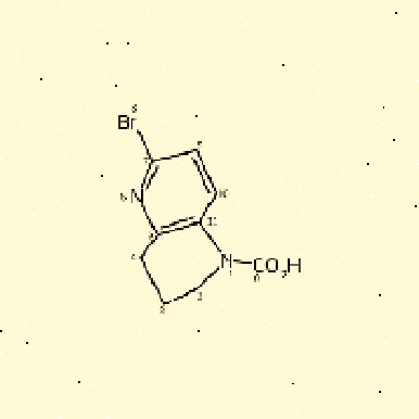 O=C(O)N1CCCc2nc(Br)ccc21